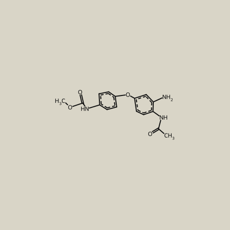 COC(=O)Nc1ccc(Oc2ccc(NC(C)=O)c(N)c2)cc1